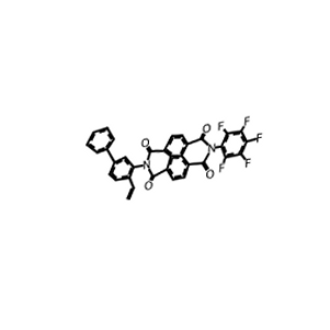 C=Cc1ccc(-c2ccccc2)cc1N1C(=O)c2ccc3c4c(ccc(c24)C1=O)C(=O)N(c1c(F)c(F)c(F)c(F)c1F)C3=O